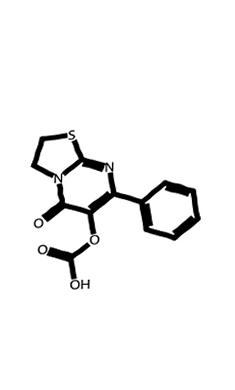 O=C(O)Oc1c(-c2ccccc2)nc2n(c1=O)CCS2